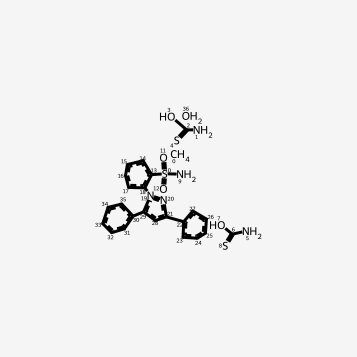 C.NC(O)=S.NC(O)=S.NS(=O)(=O)c1ccccc1-n1nc(-c2ccccc2)cc1-c1ccccc1.O